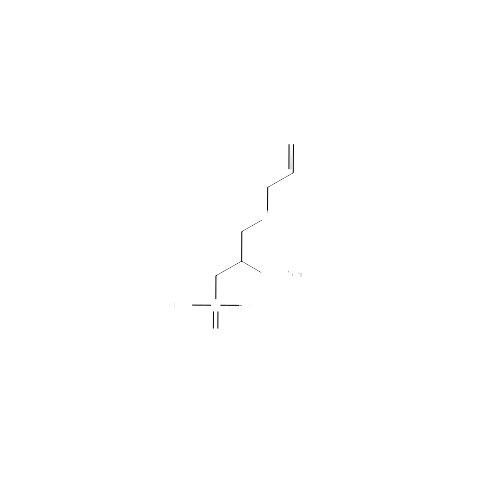 C=CCOCC(O)CP(=O)(O)O.[NaH]